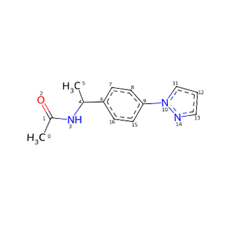 CC(=O)NC(C)c1ccc(-n2cccn2)cc1